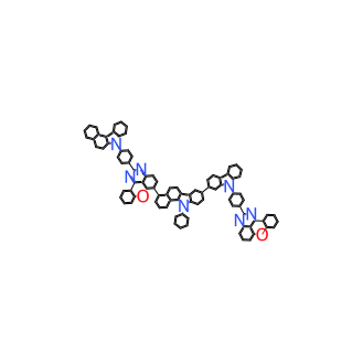 c1ccc(-n2c3ccc(-c4ccc5c6ccccc6n(-c6ccc(-c7nc8c9c(cccc9n7)Oc7ccccc7-8)cc6)c5c4)cc3c3ccc4c(-c5ccc6nc(-c7ccc(-n8c9ccccc9c9c%10ccccc%10ccc98)cc7)nc7c6c5Oc5ccccc5-7)cccc4c32)cc1